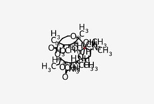 CC[C@H]1OC(=O)[C@@]2(C)CCO[C@@](C)(C[C@@H](C)CN[C@H](C)[C@H]3NC(=O)O[C@@]31C)[C@H](O[C@@H]1OC(C)CC(N(C)C)C1O)[C@@H](C)C2=O